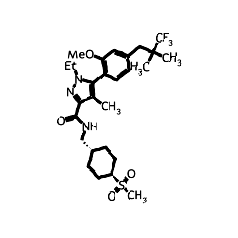 CCn1nc(C(=O)NC[C@H]2CC[C@H](S(C)(=O)=O)CC2)c(C)c1-c1ccc(CC(C)(C)C(F)(F)F)cc1OC